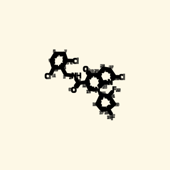 O=C(NCc1c(Cl)cccc1Cl)c1cn(-c2ccc(F)cc2F)c2nc(Cl)ccc2c1=O